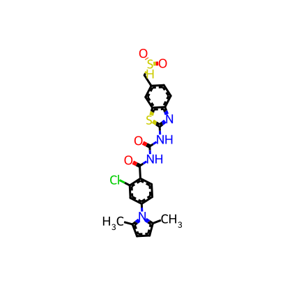 Cc1ccc(C)n1-c1ccc(C(=O)NC(=O)Nc2nc3ccc(C[SH](=O)=O)cc3s2)c(Cl)c1